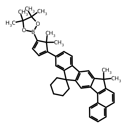 CC1(C)C(B2OC(C)(C)C(C)(C)O2)=CC=C1c1ccc2c(c1)C1(CCCCC1)c1cc3c(cc1-2)C(C)(C)c1ccc2ccccc2c1-3